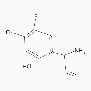 C=CC(N)c1ccc(Cl)c(F)c1.Cl